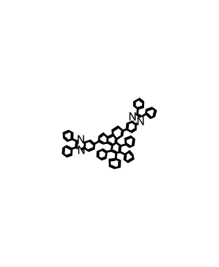 c1ccc(-c2nc3ccc(-c4ccc5c6ccc(-c7ccc8nc(-c9ccccc9)c(-c9ccccc9)nc8c7)cc6c6c(-c7ccccc7)c(-c7ccccc7)c(-c7ccccc7)c(-c7ccccc7)c6c5c4)cc3nc2-c2ccccc2)cc1